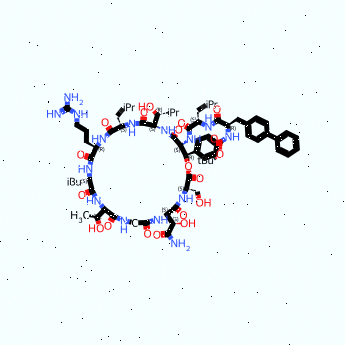 CC[C@H](C)C1NC(=O)[C@@H](CCCNC(=N)N)NC(=O)[C@H](CC(C)C)NC(=O)[C@H]([C@H](O)C(C)C)NC(=O)[C@@H](NC(=O)[C@H](CC(C)C)NC(=O)[C@@H](Cc2ccc(-c3ccccc3)cc2)NC(=O)OC(C)(C)C)[C@@H](c2ccccc2)OC(=O)[C@H](CO)NC(=O)[C@H]([C@H](O)C(N)=O)NC(=O)CNC(=O)C([C@H](C)O)NC1=O